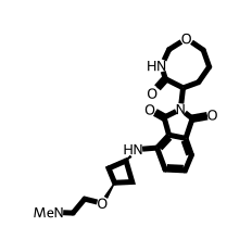 CNCCO[C@H]1C[C@H](Nc2cccc3c2C(=O)N(C2CCCOCNC2=O)C3=O)C1